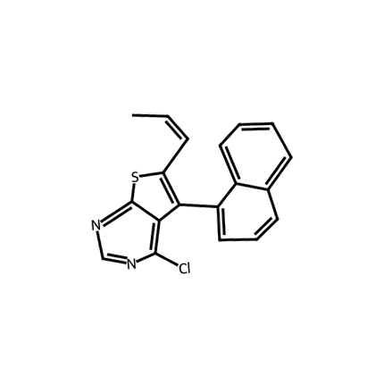 C/C=C\c1sc2ncnc(Cl)c2c1-c1cccc2ccccc12